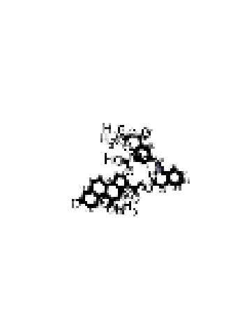 CCCC(O)OC1CC2C3CCC4=CC(=O)C=CC4(C)C3C(O)CC2(C)C1C(=O)COC(=O)Cc1ccccc1/N=N/c1ccc2c(c1)C(=O)OC(C)(C)O2